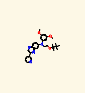 COc1cc(OC)cc(N(CCO[Si](C)(C)C(C)(C)C)c2ccc3ncc(-c4cccnc4)nc3c2)c1